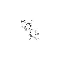 CC1=CC([C@@H]2C=C(C)[C@H](O)C(C)C2)CC(C)C1O